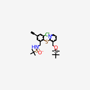 C#Cc1cc(Cl)c(Sc2ncccc2CO[Si](C)(C)C(C)(C)C)c(CN[S+]([O-])C(C)(C)C)c1